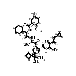 CCCC(NC(=O)[C@@H]1C[C@@]2(CN1C(=O)[C@@H](NC(=O)[C@@H](NC(=O)[C@H]1CN(C(C)C)CCN1C)C1CCCCC1)C(C)(C)C)C(C)(C)C21CCC1)C(=O)C(=O)NC1CC1